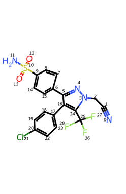 N#CCn1nc(-c2ccc(S(N)(=O)=O)cc2)c(-c2ccc(Cl)cc2)c1C(F)(F)F